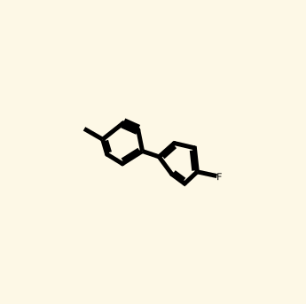 Cc1c#cc(-c2ccc(F)cc2)cc1